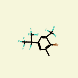 Cc1cc(C(F)(C(F)(F)F)C(F)(F)F)cc(C(F)(F)F)c1Br